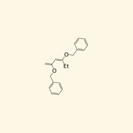 C=C(/C=C(\CC)OCc1ccccc1)OCc1ccccc1